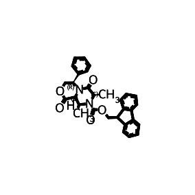 CC1[C@H]2C(=O)OC[C@@H](c3ccccc3)N2C(=O)[C@H](C)N1C(=O)OCC1c2ccccc2-c2ccccc21